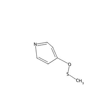 CSOc1ccncc1